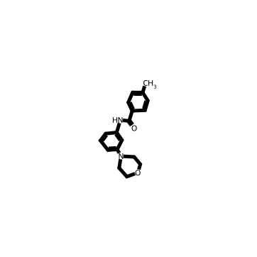 Cc1ccc(C(=O)Nc2cccc(N3CCOCC3)c2)cc1